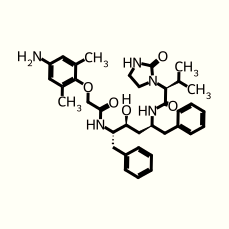 Cc1cc(N)cc(C)c1OCC(=O)N[C@@H](Cc1ccccc1)[C@@H](O)C[C@H](Cc1ccccc1)NC(=O)[C@H](C(C)C)N1CCNC1=O